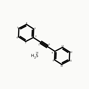 C(#Cc1ccccc1)c1ccccc1.S